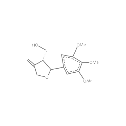 C=C1COC(c2cc(OC)c(OC)c(OC)c2)[C@H]1CO